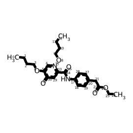 CCCCOc1cn(OCCCC)c(C(=O)Nc2ccc(CC(=O)OCC)cc2)cc1=O